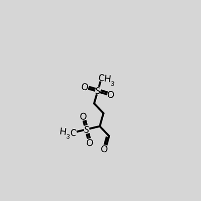 CS(=O)(=O)CCC(C=O)S(C)(=O)=O